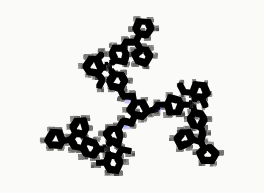 CCc1cccc(C)c1N(c1ccc(C=C(c2ccccc2)c2ccccc2)cc1)c1ccc(/C=C/c2cc(/C=C/c3ccc(N(c4ccc(C=C(c5ccccc5)c5ccccc5)cc4)c4c(C)cccc4CC)cc3)cc(/C=C/c3ccc(N(c4ccc(C=C(c5ccccc5)c5ccccc5)cc4)c4c(C)cccc4CC)cc3)c2)cc1